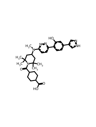 CN(c1ccc(-c2ccc(-c3cn[nH]c3)cc2O)nn1)C1CC(C)(C)N(C(=O)C2CCC(C(=O)O)CC2)C(C)(C)C1